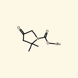 CCCCOC(=O)N1CC(=O)CC1(C)C